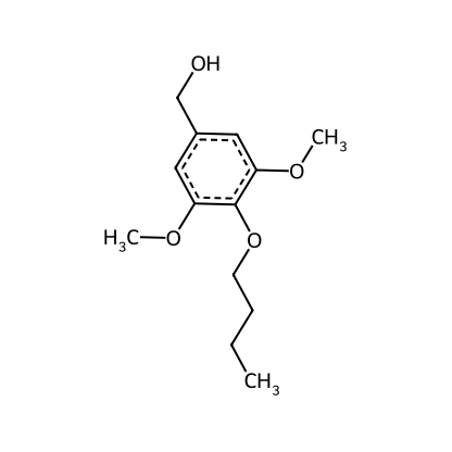 CCCCOc1c(OC)cc(CO)cc1OC